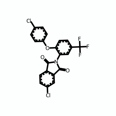 O=C1c2ccc(Cl)cc2C(=O)N1c1cc(C(F)(F)F)ccc1Oc1ccc(Cl)cc1